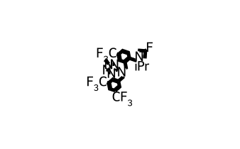 CC(C)[C@H](c1ccc(C(F)(F)F)cc1CN(Cc1cc(C(F)(F)F)cc(C(F)(F)F)c1)c1nnn(C)n1)N1CC(F)C1